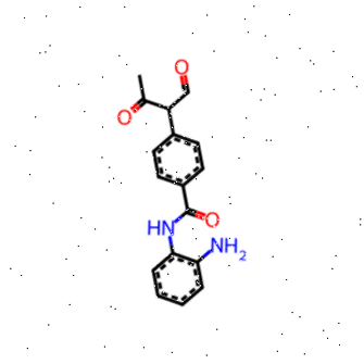 CC(=O)C(C=O)c1ccc(C(=O)Nc2ccccc2N)cc1